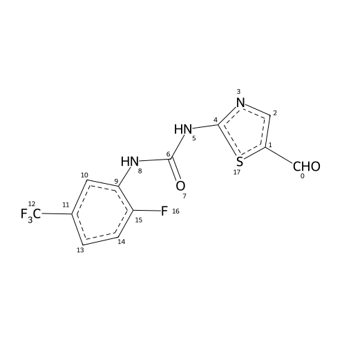 O=Cc1cnc(NC(=O)Nc2cc(C(F)(F)F)ccc2F)s1